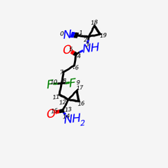 N#CC1(NC(=O)[CH]CC(F)(F)CC2(C(N)=O)CC2)CC1